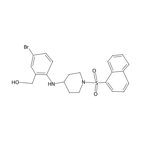 O=S(=O)(c1cccc2ccccc12)N1CCC(Nc2ccc(Br)cc2CO)CC1